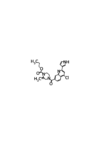 CCCOC(=O)N1CCN(C(=O)c2ccc3c(Cl)cc(-c4cc[nH]c4)nc3c2)C[C@H]1C